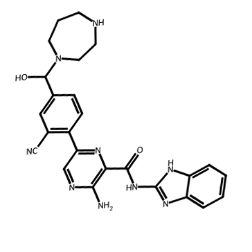 N#Cc1cc(C(O)N2CCCNCC2)ccc1-c1cnc(N)c(C(=O)Nc2nc3ccccc3[nH]2)n1